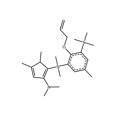 C=CCOc1c([Si](C)(C)C)cc(C)cc1[Si](C)(C)C1=C(N(C)C)C=C(C)C1C